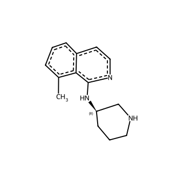 Cc1cccc2ccnc(N[C@@H]3CCCNC3)c12